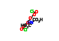 O=C(Cl)OCCOCCOCCOC(=O)Cl.O=C(O)CNCC(=O)O